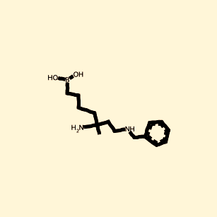 CC(N)(CCCCB(O)O)CCNCc1ccccc1